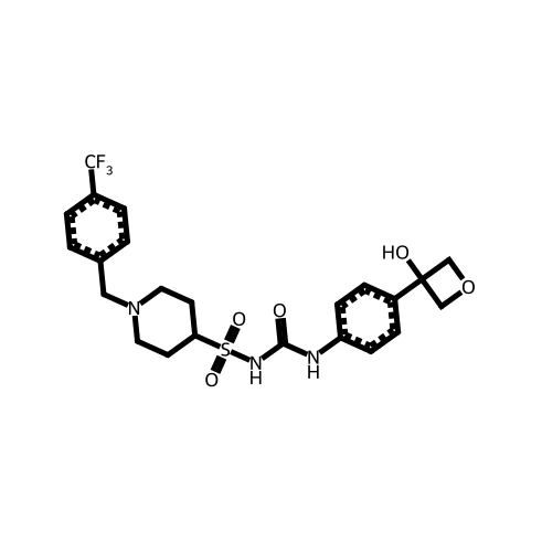 O=C(Nc1ccc(C2(O)COC2)cc1)NS(=O)(=O)C1CCN(Cc2ccc(C(F)(F)F)cc2)CC1